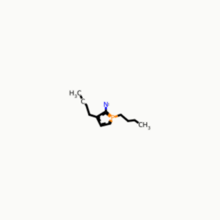 CCCCc1ccp(CCCC)c1[N]